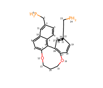 PCc1ccc2c3c(ccc2c1)OCCCOc1ccc2cc(CP)ccc2c1-3